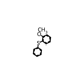 COc1ccc[c]c1Sc1ccccc1